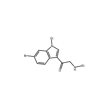 CCNCC(=O)c1cn(CC)c2cc(Br)ccc12